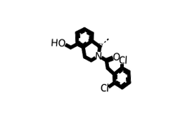 C[C@H]1c2cccc(CO)c2CCN1C(=O)Cc1c(Cl)cccc1Cl